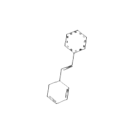 C1=CCC(C=Cc2ccccc2)C=C1